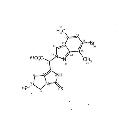 CCOC(=O)C(c1[nH]c(=S)n2c1C[C@@H](F)C2)n1cc2c(C)cc(Br)c(C)c2n1